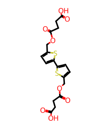 O=C(O)CCC(=O)OCc1ccc(-c2ccc(COC(=O)CCC(=O)O)s2)s1